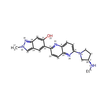 CCN[C@@H]1CCN(c2ccc3nc(-c4cc5cn(C)nc5cc4O)ccc3n2)C1